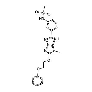 Cc1c(OCCOc2ccccc2)nn2nc(-c3cccc(NS(C)(=O)=O)c3)[nH]c12